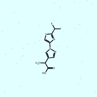 CC(C(=O)O)c1cnn(-c2csc(C(F)F)n2)c1